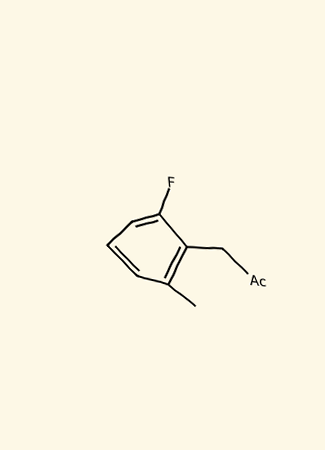 CC(=O)Cc1c(C)cccc1F